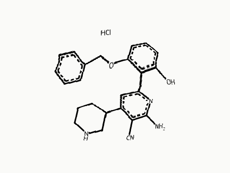 Cl.N#Cc1c(C2CCCNC2)cc(-c2c(O)cccc2OCc2ccccc2)nc1N